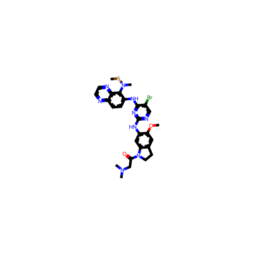 COc1cc2c(cc1Nc1ncc(Br)c(Nc3ccc4nccnc4c3N(C)SC)n1)N(C(=O)CN(C)C)CC2